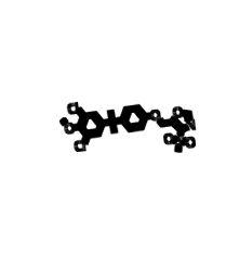 COc1c(Cl)cc(C(C)(C)c2ccc(OCc3ocnc3S(C)(=O)=O)cc2)cc1Cl